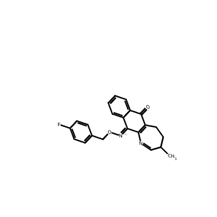 CC1C=NC2=C(CC1)C(=O)c1ccccc1/C2=N\OCc1ccc(F)cc1